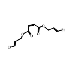 CCC=CCOC(=O)/C=C\C(=O)OCC=CCC